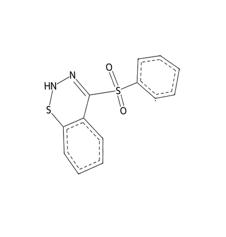 O=S(=O)(C1=NNSc2ccccc21)c1[c]cccc1